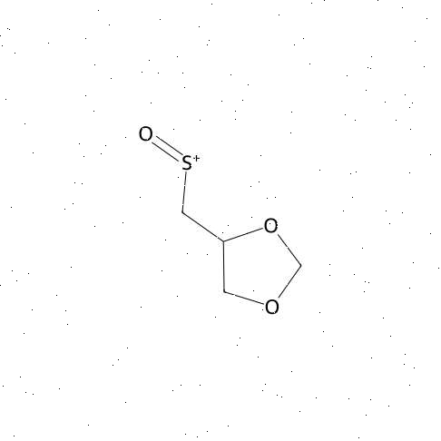 O=[S+]CC1COCO1